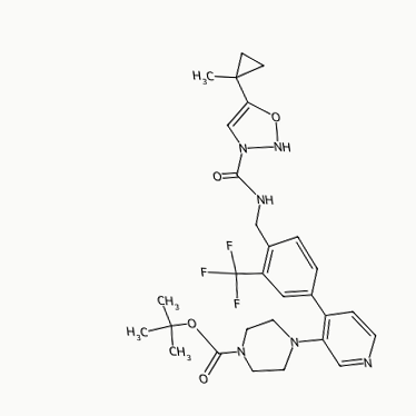 CC(C)(C)OC(=O)N1CCN(c2cnccc2-c2ccc(CNC(=O)N3C=C(C4(C)CC4)ON3)c(C(F)(F)F)c2)CC1